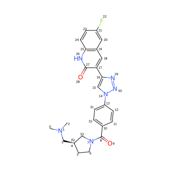 CN(C)C[C@@H]1CCN(C(=O)c2ccc(-n3cc(-c4cc5cc(F)ccc5[nH]c4=O)nn3)cc2)C1